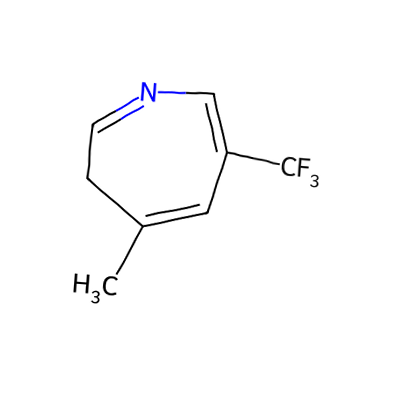 CC1=CC(C(F)(F)F)=CN=CC1